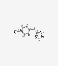 Clc1ccc(Cc2nccs2)cc1